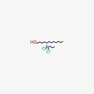 CCCCCCCCCCCCO.CCC[N+](C)(C)Cl.[Cl-]